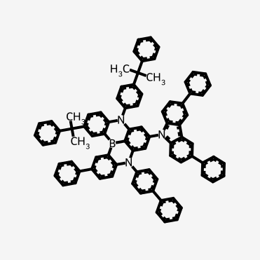 CC(C)(c1ccccc1)c1ccc(N2c3ccc(C(C)(C)c4ccccc4)cc3B3c4cc(-c5ccccc5)ccc4N(c4ccc(-c5ccccc5)cc4)c4cc(-n5c6ccc(-c7ccccc7)cc6c6cc(-c7ccccc7)ccc65)cc2c43)cc1